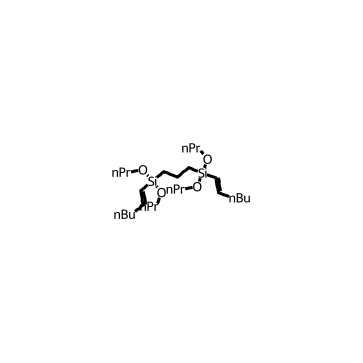 CCCCC=C[Si](CCC[Si](C=CCCCC)(OCCC)OCCC)(OCCC)OCCC